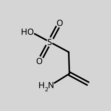 C=C(N)CS(=O)(=O)O